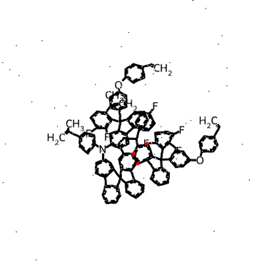 C=Cc1ccc(Oc2ccc(C3(c4c(F)ccc(F)c4F)c4ccccc4-c4ccc(C(CCc5ccc6c(c5)C5(c7ccccc7-6)c6ccccc6-c6ccc(N(c7ccc(C(=C)C)cc7)c7ccc8c(c7)C(c7ccc(Oc9ccc(C=C)cc9)cc7)(c7c(C(=C)C)ccc(F)c7F)c7ccccc7-8)cc65)c5ccc(F)cc5)cc43)cc2)cc1